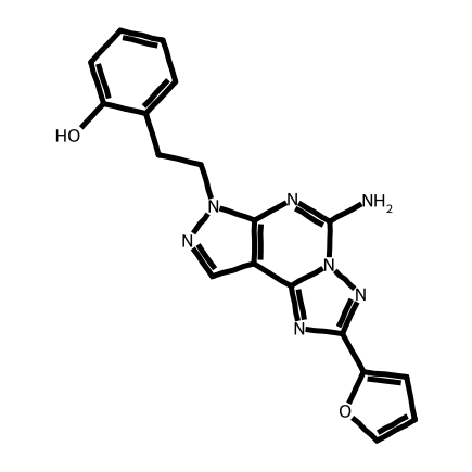 Nc1nc2c(cnn2CCc2ccccc2O)c2nc(-c3ccco3)nn12